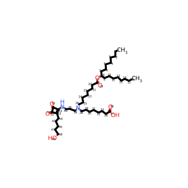 CCCCCCCCC(CCCCCCCC)OC(=O)CCCCCCCN(CCCCCCCC(=O)O)CCCNc1c(CCCCCO)c(=O)c1=O